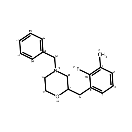 Cc1cccc(CC2CN(Cc3ccccc3)CCO2)c1F